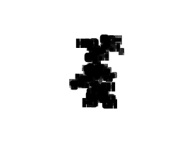 CSc1cnc(C(SC[C@H](NC(=O)CC[C@H](N)C(=O)O)C(=O)NCC(=O)O)C2CCCC(C(SC[C@H](NC(O)CC[C@@H](N)C(=O)O)C(=O)NCC(=O)O)c3cnc(SC)cn3)C2=O)cn1